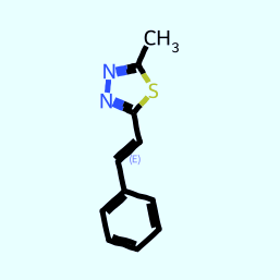 Cc1nnc(/C=C/c2ccccc2)s1